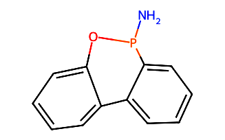 NP1Oc2ccccc2-c2ccccc21